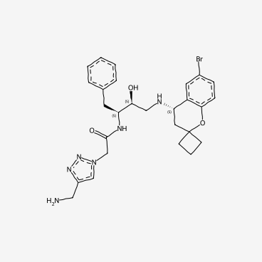 NCc1cn(CC(=O)N[C@@H](Cc2ccccc2)[C@@H](O)CN[C@H]2CC3(CCC3)Oc3ccc(Br)cc32)nn1